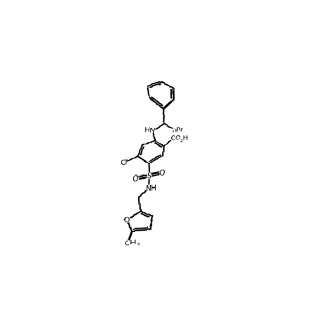 CCCC(Nc1cc(Cl)c(S(=O)(=O)NCc2ccc(C)o2)cc1C(=O)O)c1ccccc1